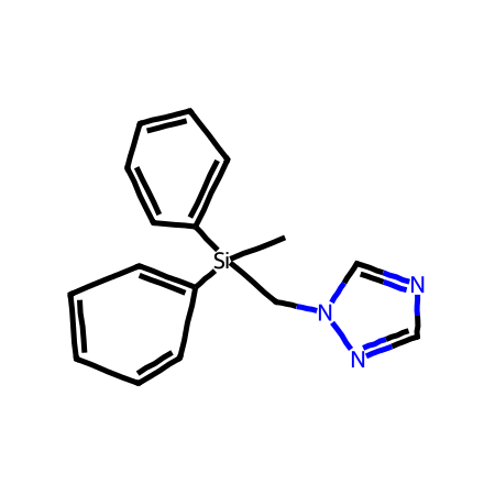 C[Si](Cn1cncn1)(c1ccccc1)c1ccccc1